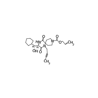 C=CCOC(=O)N1CCC2(CC1)C(=O)N[C@H]([C@H](O)C1CCCCC1)C(=O)N2CC#CC